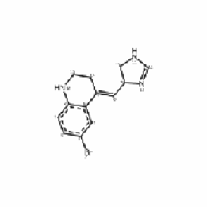 Brc1ccc2c(c1)/C(=C/C1CNC=N1)CCN2